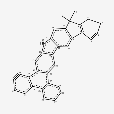 CC1(C)C2=C(C=CCC2)c2cc3c(cc21)[nH]c1cc2c4c#cccc4c4ccccc4c2cc13